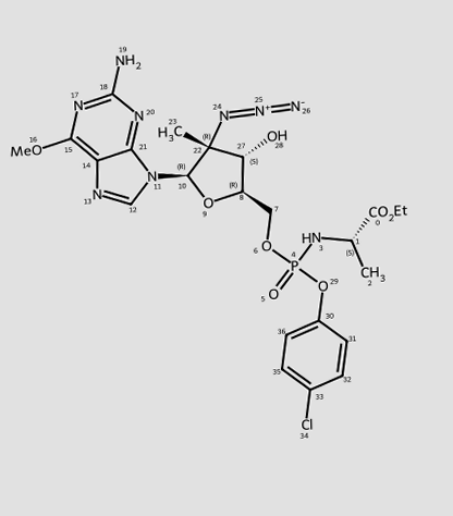 CCOC(=O)[C@H](C)NP(=O)(OC[C@H]1O[C@@H](n2cnc3c(OC)nc(N)nc32)[C@](C)(N=[N+]=[N-])[C@@H]1O)Oc1ccc(Cl)cc1